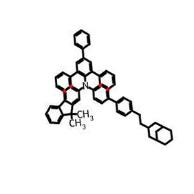 CC1(C)c2ccccc2-c2ccc(N(c3ccc(-c4ccc(CCC5CC6CCCC(C6)C5)cc4)cc3)c3c(-c4ccccc4)cc(-c4ccccc4)cc3-c3ccccc3)cc21